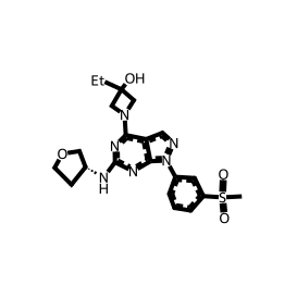 CCC1(O)CN(c2nc(N[C@@H]3CCOC3)nc3c2cnn3-c2cccc(S(C)(=O)=O)c2)C1